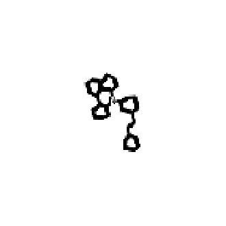 C(=C\c1cccc(N(c2ccccc2)c2ccccc2-c2ccccc2)c1)/c1ccccc1